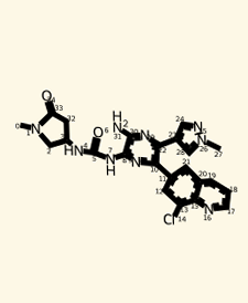 CN1CC(NC(=O)Nc2nc(-c3cc(Cl)c4ncccc4c3)c(-c3cnn(C)c3)nc2N)CC1=O